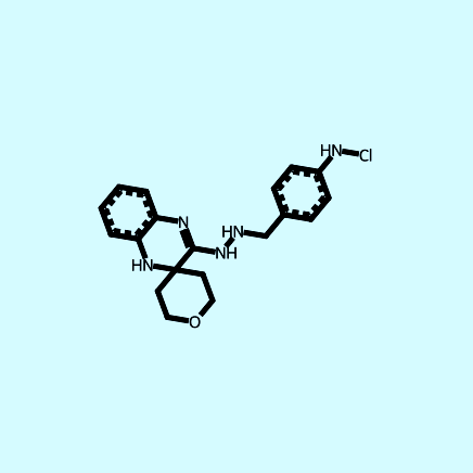 ClNc1ccc(CNNC2=Nc3ccccc3NC23CCOCC3)cc1